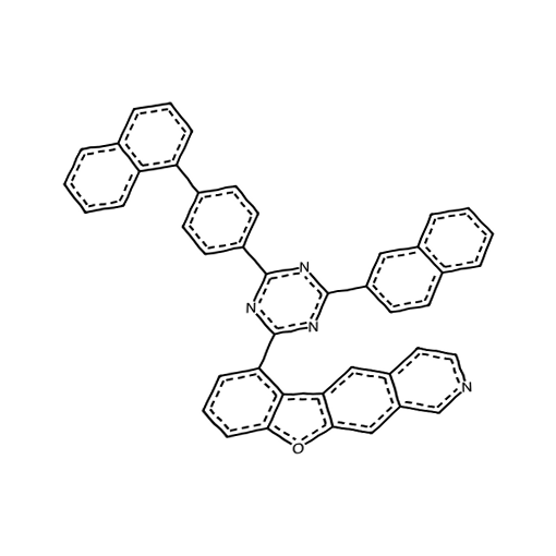 c1ccc2cc(-c3nc(-c4ccc(-c5cccc6ccccc56)cc4)nc(-c4cccc5oc6cc7cnccc7cc6c45)n3)ccc2c1